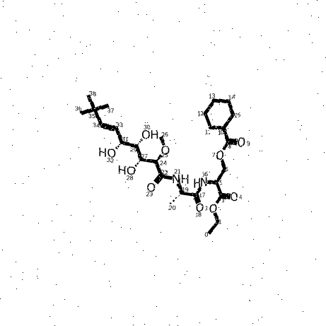 CCOC(=O)C(COC(=O)C1CCCCC1)NC(=O)[C@H](C)NC(=O)[C@H](OC)[C@H](O)[C@@H](O)[C@H](O)/C=C/C(C)(C)C